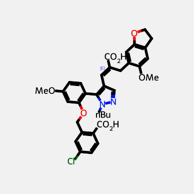 CCCCn1ncc(/C=C(\Cc2cc3c(cc2OC)CCO3)C(=O)O)c1-c1ccc(OC)cc1OCc1cc(Cl)ccc1C(=O)O